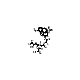 CCN(C)[C@@H]1Cc2ccc(OC)c3c2[C@@]2(C)[C@@H](O3)C(OC(=O)[C@H](C)OC(=O)[C@H](CCC(=O)O)NC(=O)C[C@H](O)C(=O)O)=CC[C@@]12O